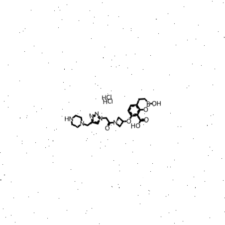 Cl.Cl.O=C(O)c1c(OC2CN(C(=O)Cn3cc(CN4CCNCC4)nn3)C2)ccc2c1OB(O)CC2